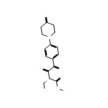 CC[C@@H](C(=N)C(=O)c1ccc(N2CCC(=O)CC2)cc1)C(=O)OC